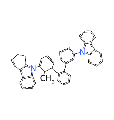 CC1C(n2c3c(c4ccccc42)C=CCC3)=CC=CC1c1ccccc1-c1cccc(-n2c3ccccc3c3ccccc32)c1